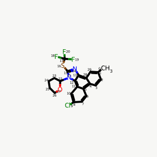 Cc1ccc2c3ccc(Cl)cc3c3c(nc(SC(F)(F)F)n3C3CCCCO3)c2c1